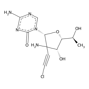 C[C@H](O)[C@H]1O[C@@H](n2cnc(N)nc2=O)C(N)(C#CCl)[C@H]1O